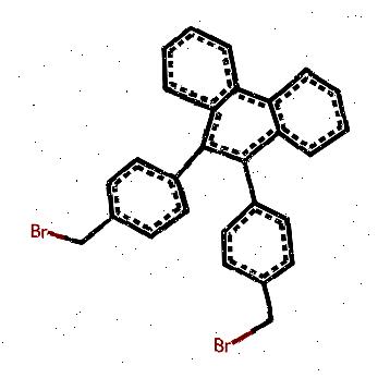 BrCc1ccc(-c2c(-c3ccc(CBr)cc3)c3ccccc3c3ccccc23)cc1